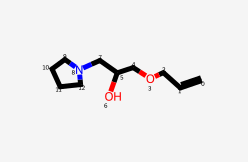 C=CCOCC(O)CN1CCCC1